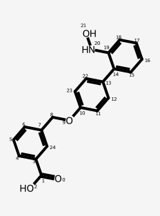 O=C(O)c1cccc(COc2ccc(-c3ccccc3NO)cc2)c1